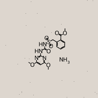 COC(=O)c1ccccc1CS(=O)(=O)NC(=O)Nc1nc(OC)cc(OC)n1.N